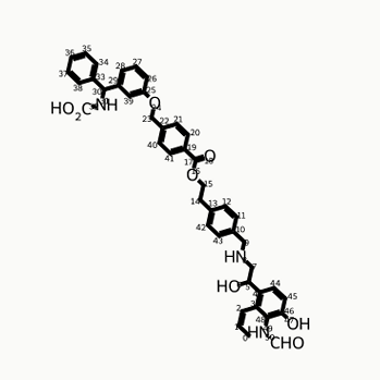 C/C=C\c1c(C(O)CNCc2ccc(CCOC(=O)c3ccc(COc4cccc(C(NC(=O)O)c5ccccc5)c4)cc3)cc2)ccc(O)c1NC=O